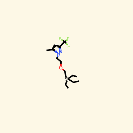 CC[Si](CC)(CC)CCOCCn1nc(C(F)(F)F)cc1C